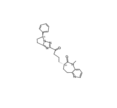 CN1C(=O)[C@@H](CCCC(=O)c2nc3n(n2)[C@H](c2ccccc2)CC3)CCc2ncccc21